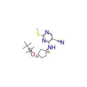 CSc1ncc(C#N)c(N[C@H]2CC[C@H](O[Si](C)(C)C(C)(C)C)C2)n1